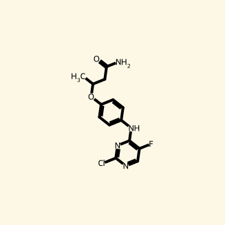 CC(CC(N)=O)Oc1ccc(Nc2nc(Cl)ncc2F)cc1